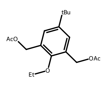 CCOc1c(COC(C)=O)cc(C(C)(C)C)cc1COC(C)=O